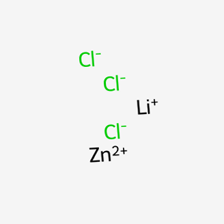 [Cl-].[Cl-].[Cl-].[Li+].[Zn+2]